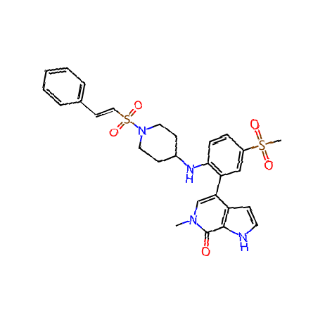 Cn1cc(-c2cc(S(C)(=O)=O)ccc2NC2CCN(S(=O)(=O)C=Cc3ccccc3)CC2)c2cc[nH]c2c1=O